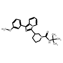 COc1cccc(-c2nc(C3CCCN(C(=O)NC(C)(C)C)C3)n3ccccc23)c1